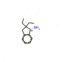 CCC1(CC)Cc2ccccc2[C@H]1N